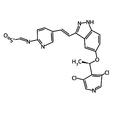 C[C@@H](Oc1ccc2[nH]nc(/C=C/c3ccc(/N=C/[S+]=O)nc3)c2c1)c1c(Cl)cncc1Cl